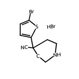 Br.N#CC1(c2ccc(Br)s2)CCNCC1